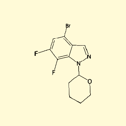 Fc1cc(Br)c2cnn(C3CCCCO3)c2c1F